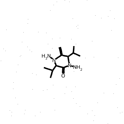 C=C1C(C(C)C)N(N)C(=O)C(C(C)C)N1N